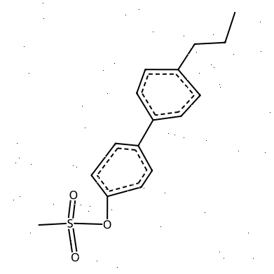 CCCc1ccc(-c2ccc(OS(C)(=O)=O)cc2)cc1